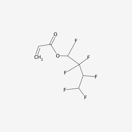 C=CC(=O)OC(F)C(F)(F)C(F)C(F)F